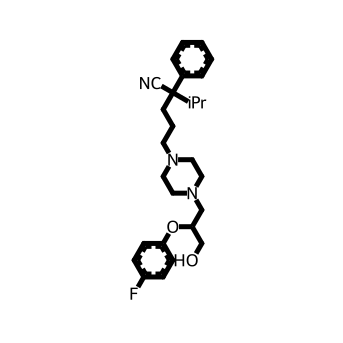 CC(C)C(C#N)(CCCN1CCN(CC(CO)Oc2ccc(F)cc2)CC1)c1ccccc1